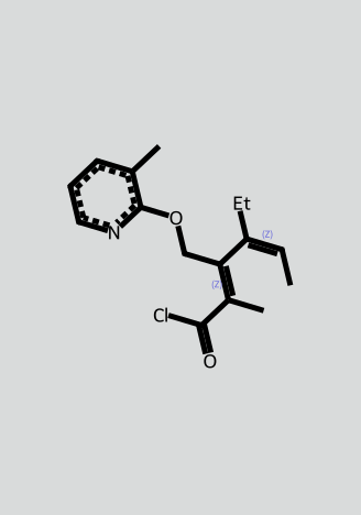 C/C=C(CC)\C(COc1ncccc1C)=C(/C)C(=O)Cl